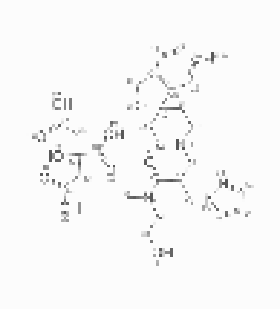 CN(CCO)C(=O)C(CN1CCC2(CC1)OCc1ccc(F)cc12)Cn1cccn1.O=C(O)CC(O)(CC(=O)O)C(=O)O